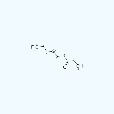 O=C(CO)CCSCCC(F)(F)F